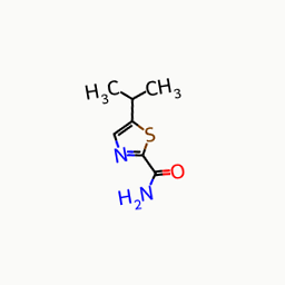 CC(C)c1cnc(C(N)=O)s1